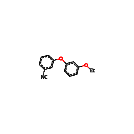 [C-]#[N+]c1cccc(Oc2cccc(OCC)c2)c1